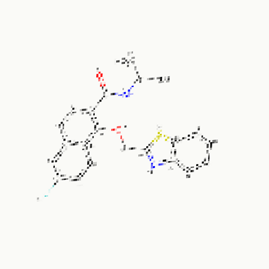 CC(C)(C)C(NC(=O)c1ccc2cc(F)ccc2c1OCc1nc2ccccc2s1)C(=O)O